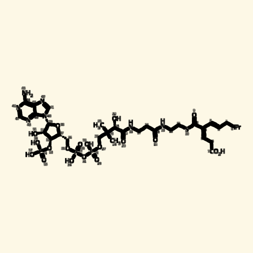 CC(C)CC=CC(=CCC(=O)O)C(=O)SCCNC(=O)CCNC(=O)[C@H](O)C(C)(C)COP(=O)(O)OP(=O)(O)OC[C@H]1O[C@@H](n2cnc3c(N)ncnc32)[C@H](O)[C@@H]1OP(=O)(O)O